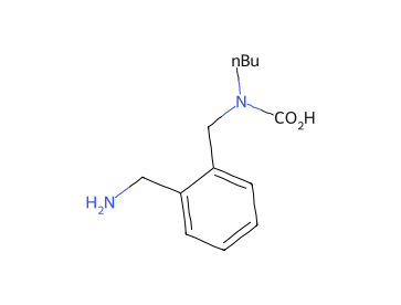 CCCCN(Cc1ccccc1CN)C(=O)O